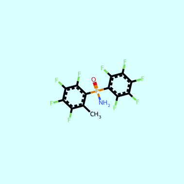 Cc1c(F)c(F)c(F)c(F)c1P(N)(=O)c1c(F)c(F)c(F)c(F)c1F